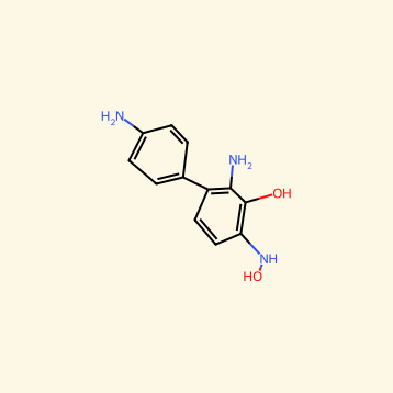 Nc1ccc(-c2ccc(NO)c(O)c2N)cc1